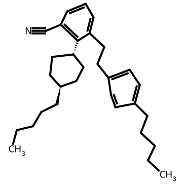 CCCCCc1ccc(CCc2cccc(C#N)c2[C@H]2CC[C@H](CCCCC)CC2)cc1